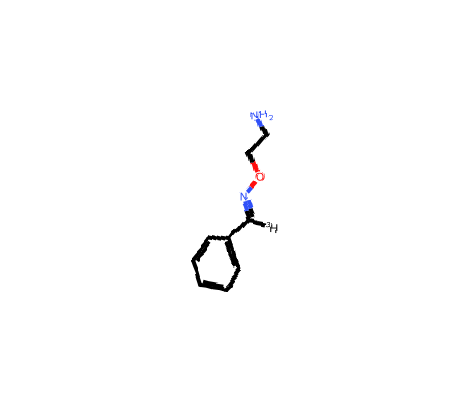 [3H]C(=NOCCN)c1ccccc1